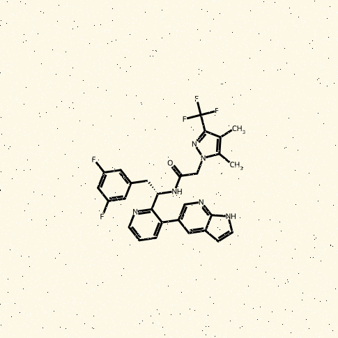 Cc1c(C(F)(F)F)nn(CC(=O)N[C@@H](Cc2cc(F)cc(F)c2)c2ncccc2-c2cnc3[nH]ccc3c2)c1C